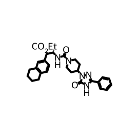 CCOC(=O)[C@@H](Cc1ccc2c(c1)CCCC2)NC(=O)N1CCC(n2nc(-c3ccccc3)[nH]c2=O)CC1